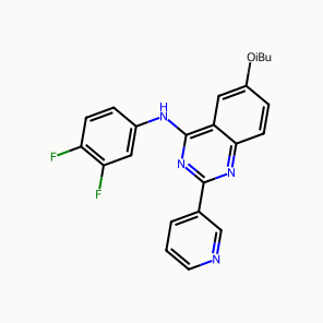 CC(C)COc1ccc2nc(-c3cccnc3)nc(Nc3ccc(F)c(F)c3)c2c1